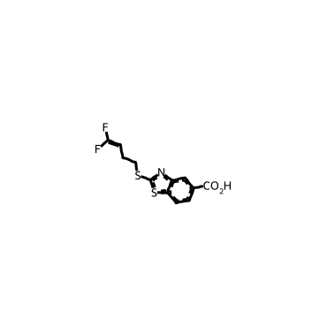 O=C(O)c1ccc2sc(SCCC=C(F)F)nc2c1